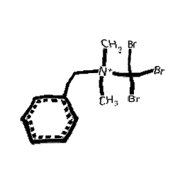 C[N+](C)(Cc1ccccc1)C(Br)(Br)Br